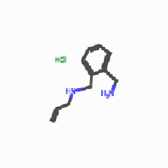 C=CCNCc1ccccc1CN.Cl